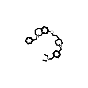 CCN(CC)Cc1ccc(CN2CCC(CCOc3ccc4c(c3)CN(Cc3ccccc3)CCC4)CC2)cc1